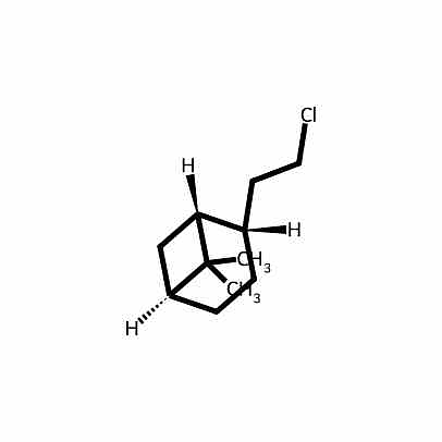 CC1(C)[C@H]2CC[C@@H](CCCl)[C@H]1C2